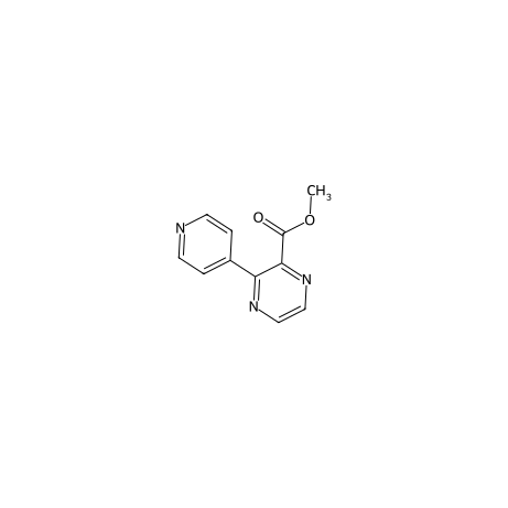 COC(=O)c1nccnc1-c1ccncc1